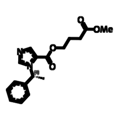 COC(=O)CCCOC(=O)c1cncn1[C@H](C)c1ccccc1